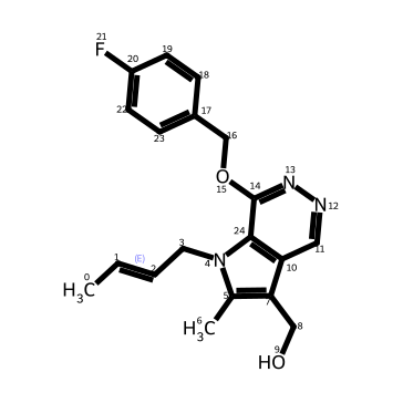 C/C=C/Cn1c(C)c(CO)c2cnnc(OCc3ccc(F)cc3)c21